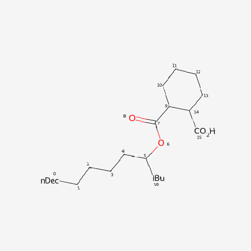 CCCCCCCCCCCCCCC(OC(=O)C1CCCCC1C(=O)O)C(C)CC